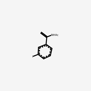 C=C(NC(C)=O)c1cccc(I)c1